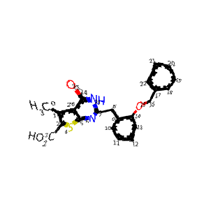 Cc1c(C(=O)O)sc2nc(Cc3ccccc3OCc3ccccc3)[nH]c(=O)c12